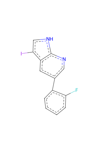 Fc1ccccc1-c1cnc2[nH]cc(I)c2c1